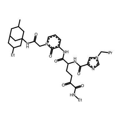 CCNC(=O)C(=O)CCC(NC(=O)c1cn(CC(C)C)cn1)C(=O)Nc1cccn(CC(=O)NC23CC(C)CC(CC(CC)C2)C3)c1=O